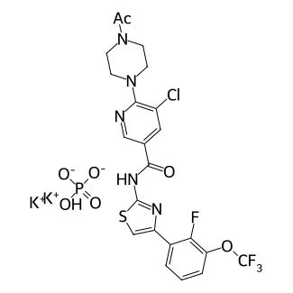 CC(=O)N1CCN(c2ncc(C(=O)Nc3nc(-c4cccc(OC(F)(F)F)c4F)cs3)cc2Cl)CC1.O=P([O-])([O-])O.[K+].[K+]